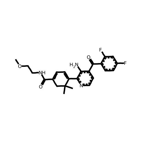 COCCNC(=O)C1=CC=C(c2nccc(C(=O)c3ccc(F)cc3F)c2N)C(C)(C)C1